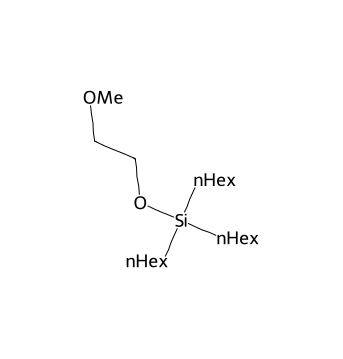 CCCCCC[Si](CCCCCC)(CCCCCC)OCCOC